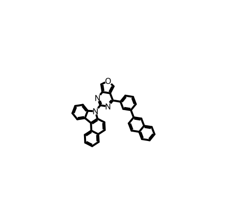 c1cc(-c2ccc3ccccc3c2)cc(-c2nc(-n3c4ccccc4c4c5ccccc5ccc43)nc3cocc23)c1